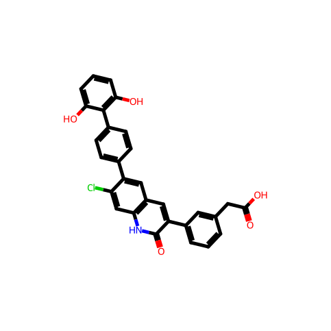 O=C(O)Cc1cccc(-c2cc3cc(-c4ccc(-c5c(O)cccc5O)cc4)c(Cl)cc3[nH]c2=O)c1